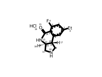 CCc1cc(F)c2c(c1)[C@@H]1CNC[C@H]1NC2=O.Cl